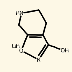 Oc1noc2c1CCNC2.[LiH]